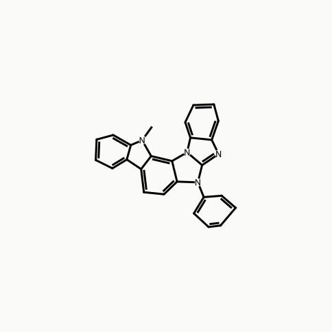 Cn1c2ccccc2c2ccc3c(c21)n1c2ccccc2nc1n3-c1ccccc1